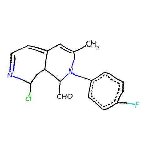 CC1=CC2=CC=NC(Cl)C2C(C=O)N1c1ccc(F)cc1